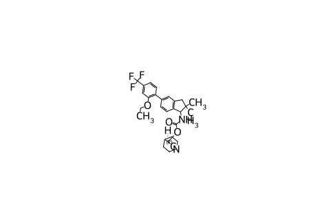 CCOc1cc(C(F)(F)F)ccc1-c1ccc2c(c1)CC(C)(C)C2NC(=O)O[C@H]1CN2CCC1CC2